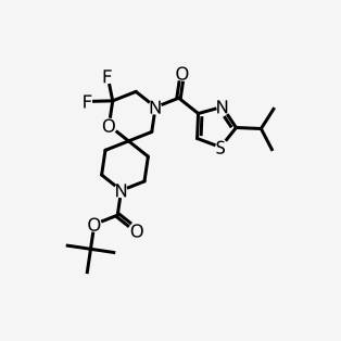 CC(C)c1nc(C(=O)N2CC(F)(F)OC3(CCN(C(=O)OC(C)(C)C)CC3)C2)cs1